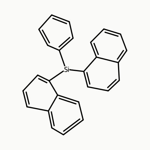 c1ccc([Si](c2cccc3ccccc23)c2cccc3ccccc23)cc1